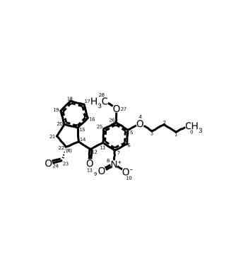 CCCCOc1cc([N+](=O)[O-])c(C(=O)C2c3ccccc3C[C@H]2C=O)cc1OC